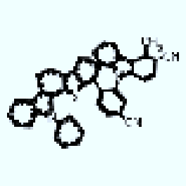 CC1c2c(n(C3=CC(C#N)=C=C=C3c3cccc4c3sc3c4ccc4c5ccccc5n(-c5ccccc5)c43)c3ccccc23)C=C[C@@H]1C#N